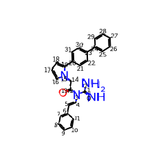 N=C(N)N(C=Cc1ccccc1)C(=O)Cn1cccc1-c1ccc(-c2ccccc2)cc1